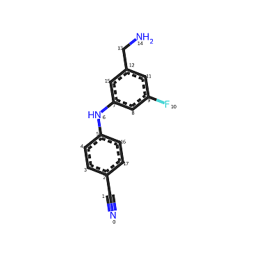 N#Cc1ccc(Nc2cc(F)cc(CN)c2)cc1